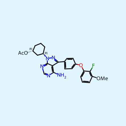 COc1cccc(Oc2ccc(-c3nn([C@@H]4CCC[C@@H](OC(C)=O)C4)c4ncnc(N)c34)cc2)c1F